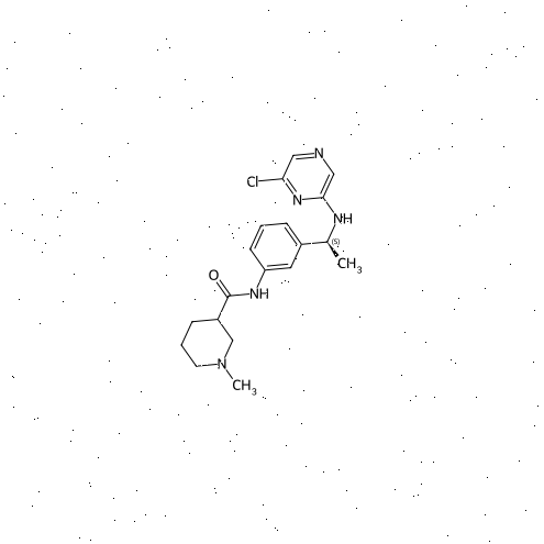 C[C@H](Nc1cncc(Cl)n1)c1cccc(NC(=O)C2CCCN(C)C2)c1